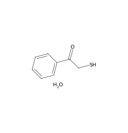 O.O=C(CS)c1ccccc1